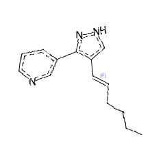 CCCC/C=C/c1c[nH]nc1-c1cccnc1